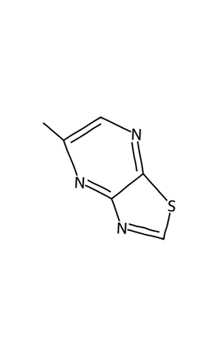 Cc1cnc2scnc2n1